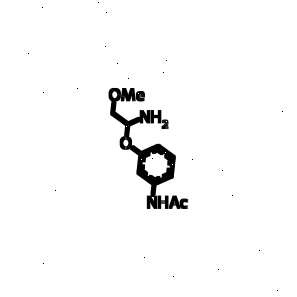 COCC(N)Oc1cccc(NC(C)=O)c1